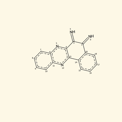 N=C1C(=N)c2nc3ccccc3nc2-c2ccccc21